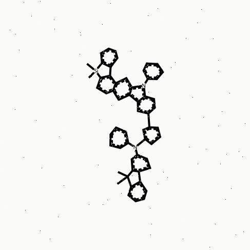 CC1(C)c2ccccc2-c2ccc(N(c3ccccc3)c3cccc(-c4ccc5c(c4)c4cc6ccc7c(c6cc4n5-c4ccccc4)-c4ccccc4[Si]7(C)C)c3)cc21